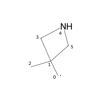 [CH2]C1(C)CNC1